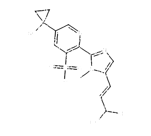 CCS(=O)(=O)c1cc(C2(C#N)CC2)cnc1-c1ncc(C=CC(Cl)C(F)(F)F)n1C